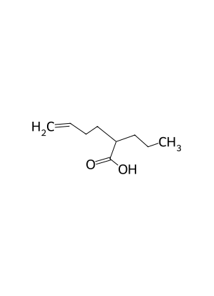 C=CCCC(CCC)C(=O)O